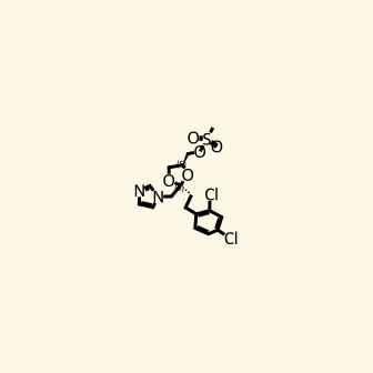 CS(=O)(=O)OC[C@@H]1CO[C@](CCc2ccc(Cl)cc2Cl)(Cn2ccnc2)O1